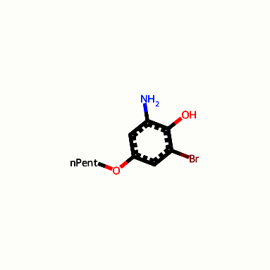 CCCCCOc1cc(N)c(O)c(Br)c1